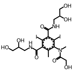 Cc1c(C(=O)NCC(O)CO)c(I)c(C(=O)NCC(O)CO)c(I)c1N(C)C(=O)CO